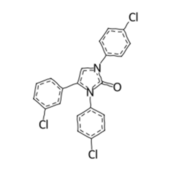 O=c1n(-c2ccc(Cl)cc2)cc(-c2cccc(Cl)c2)n1-c1ccc(Cl)cc1